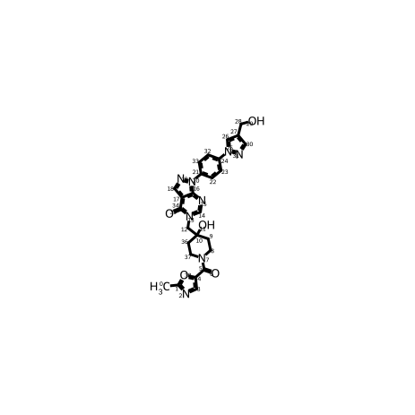 Cc1ncc(C(=O)N2CCC(O)(Cn3cnc4c(cnn4-c4ccc(-n5cc(CO)cn5)cc4)c3=O)CC2)o1